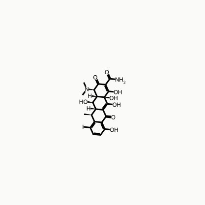 C[C@@H]1c2c(I)ccc(O)c2C(=O)C2=C(O)[C@@]3(O)C(O)=C(C(N)=O)C(=O)[C@H](N(C)C)[C@H]3[C@H](O)[C@H]21